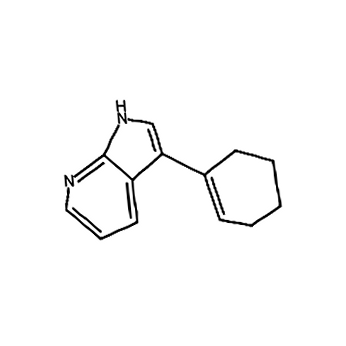 C1=C(c2c[nH]c3ncccc23)CCCC1